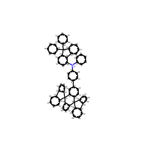 c1ccc(N(c2ccc(-c3ccc4c(c3)C3(c5ccccc5-c5ccccc53)c3ccccc3C43c4ccccc4-c4ccccc43)cc2)c2cccc3c2-c2ccccc2C3(c2ccccc2)c2ccccc2)cc1